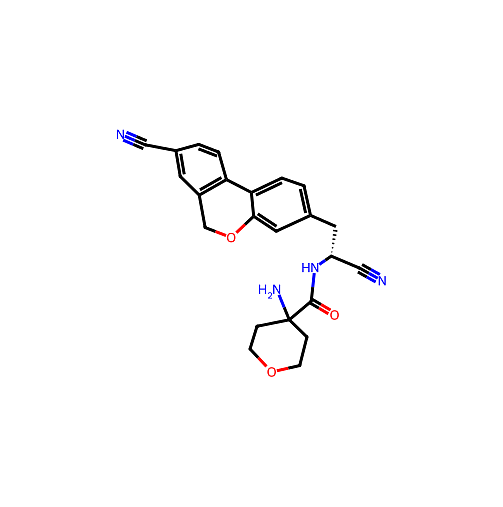 N#Cc1ccc2c(c1)COc1cc(C[C@H](C#N)NC(=O)C3(N)CCOCC3)ccc1-2